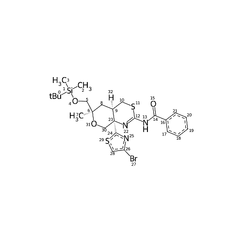 CC(C)(C)[Si](C)(C)OC[C@@]1(C)C[C@H]2CSC(NC(=O)c3ccccc3)=N[C@@]2(c2nc(Br)cs2)CO1